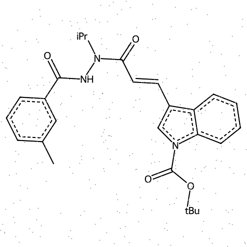 Cc1cccc(C(=O)NN(C(=O)C=Cc2cn(C(=O)OC(C)(C)C)c3ccccc23)C(C)C)c1